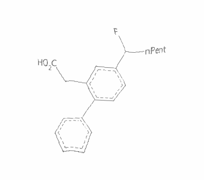 CCCCCC(F)c1ccc(-c2ccccc2)c(CC(=O)O)c1